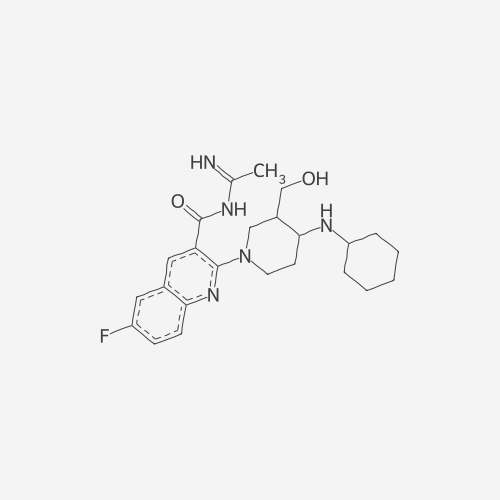 CC(=N)NC(=O)c1cc2cc(F)ccc2nc1N1CCC(NC2CCCCC2)C(CO)C1